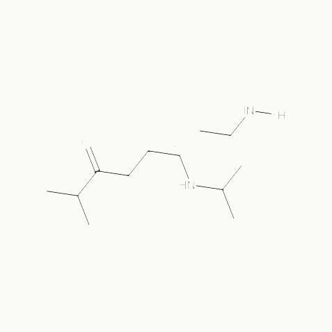 [2H]NCC[C@@H](CCC(=O)C(C)C)NC(C)C